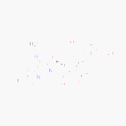 CO/N=C(\C(=O)NC1C(=O)N2C(C(=O)[O-])=C(C[N+](C)(CCO)CCO)CS[C@@H]12)c1nsc(N)n1